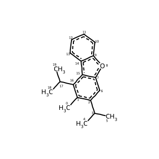 Cc1c(C(C)C)cc2oc3ccccc3c2c1C(C)C